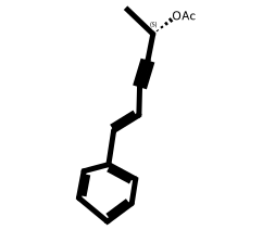 CC(=O)O[C@@H](C)C#CC=Cc1ccccc1